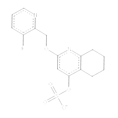 O=S(=O)(Oc1cc(OCc2ncccc2F)nc2c1CCCC2)C(F)(F)F